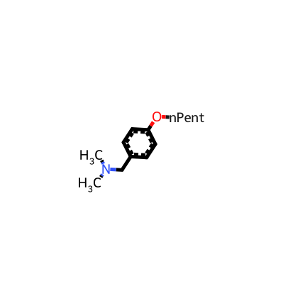 CCCCCOc1ccc(CN(C)C)cc1